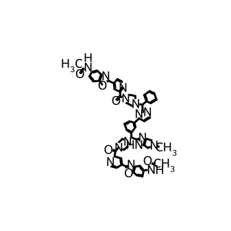 CC(=O)Nc1ccc2oc(-c3ccnc(C(=O)N4CCN(C(c5ccccc5)c5nccc(-c6cccc(C(c7nc8c([nH]7)CN(C)C8)N7CCN(C(=O)c8cc(-c9nc%10cc(NC(C)=O)ccc%10o9)ccn8)CC7)c6)n5)CC4)c3)nc2c1